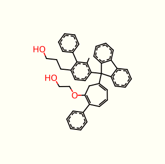 Cc1c(C2(C3=CC=CC(c4ccccc4)=C(OCCO)C3)c3ccccc3-c3ccccc32)ccc(CCCO)c1-c1ccccc1